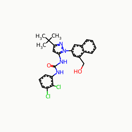 CC(C)(C)c1cc(NC(=O)Nc2cccc(Cl)c2Cl)n(-c2cc(CO)c3ccccc3c2)n1